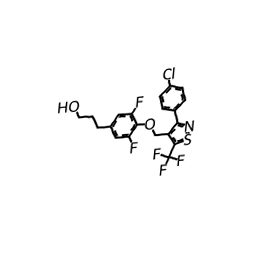 OCCCc1cc(F)c(OCc2c(-c3ccc(Cl)cc3)nsc2C(F)(F)F)c(F)c1